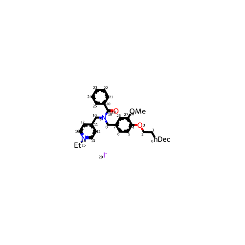 CCCCCCCCCCCCOc1ccc(CN(Cc2cc[n+](CC)cc2)C(=O)c2ccccc2)cc1OC.[I-]